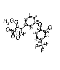 COC(C(=NO)c1cccc(Oc2ccc(C(F)(F)F)cc2Cl)c1)[N+](=O)[O-]